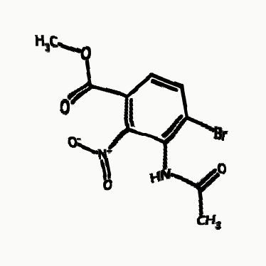 COC(=O)c1ccc(Br)c(NC(C)=O)c1[N+](=O)[O-]